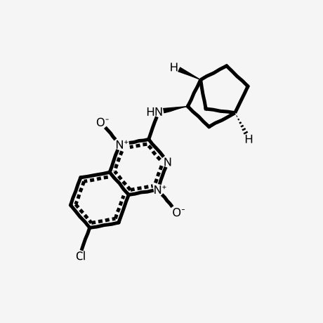 [O-][n+]1nc(N[C@@H]2C[C@@H]3CC[C@@H]2C3)[n+]([O-])c2ccc(Cl)cc21